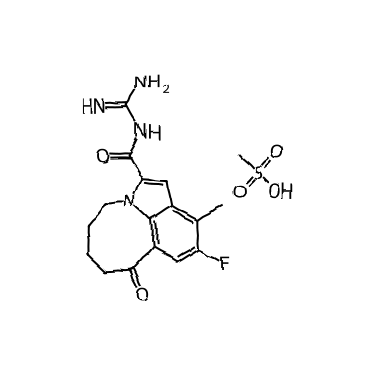 CS(=O)(=O)O.Cc1c(F)cc2c3c1cc(C(=O)NC(=N)N)n3CCCCC2=O